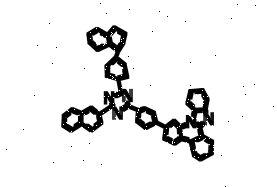 c1ccc2cc(-c3nc(-c4ccc(-c5ccc6c7ccccc7c7nc8ccccc8n7c6c5)cc4)nc(-c4ccc(-c5cccc6ccccc56)cc4)n3)ccc2c1